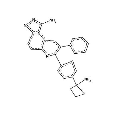 Nc1nnc2ccc3nc(-c4ccc(C5(N)CCC5)cc4)c(-c4ccccc4)cc3n12